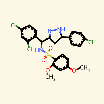 COc1ccc(S(=O)(=O)NC(C2=NNC(c3ccc(Cl)cc3)C2)c2ccc(Cl)cc2Cl)c(OC)c1